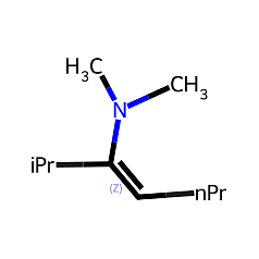 CCC/C=C(/C(C)C)N(C)C